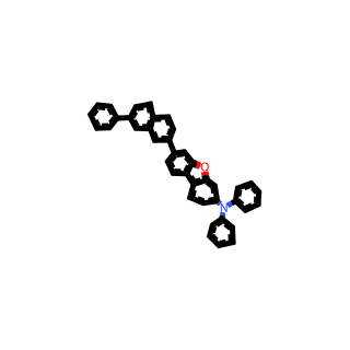 c1ccc(-c2ccc3ccc(-c4ccc5c(c4)oc4cc(N(c6ccccc6)c6ccccc6)ccc45)cc3c2)cc1